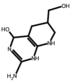 NC1=NC(O)C2=C(NCC(CO)C2)N1